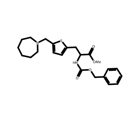 COC(=O)C(Cc1ccc(CN2CCCCCC2)s1)NC(=O)OCc1ccccc1